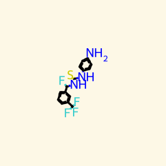 Nc1ccc(NC(=S)NC(F)c2cccc(C(F)(F)F)c2)cc1